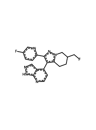 FCC1CCc2c(-c3ccnc4[nH]ncc34)c(-c3ccc(F)cn3)nn2C1